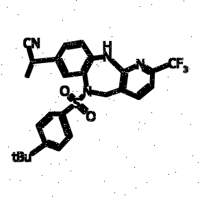 CC(C#N)c1ccc2c(c1)N(S(=O)(=O)c1ccc(C(C)(C)C)cc1)Cc1ccc(C(F)(F)F)nc1N2